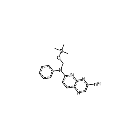 CCCc1cnc2ccc(N(CO[Si](C)(C)C)c3ccccc3)nc2n1